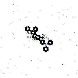 Cc1ccccc1-c1cc2c(c3ccccc13)-c1cc3c(cc1C2(C)C)-c1ccc(N(c2ccccc2)c2ccccc2)cc1C3(C)C